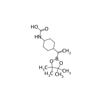 C=C(B1OC(C)(C)C(C)(C)O1)C1CCC(NC(=O)O)CC1